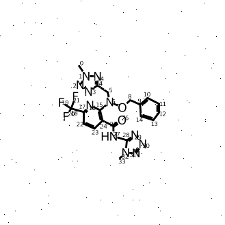 Cn1nnc(CN(OCc2ccccc2)c2nc(C(F)(F)F)ccc2C(=O)Nc2nnnn2C)n1